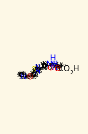 CC(C)(C(=O)O)c1cc(NC(=O)Nc2ccc(-c3cn4c(n3)sc3cc(OCCN5CCCCC5)ccc34)cc2)no1